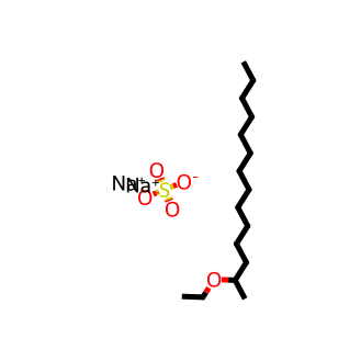 CCCCCCCCCCCCC(C)OCC.O=S(=O)([O-])[O-].[Na+].[Na+]